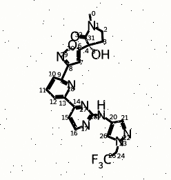 CN1CC[C@@](O)(c2cc(-c3cccc(-c4ccnc(Nc5cnn(CC(F)(F)F)c5)n4)n3)no2)C1=O